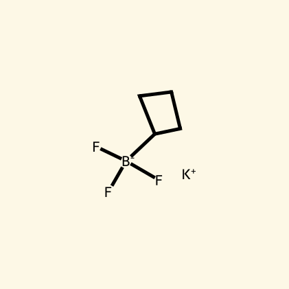 F[B-](F)(F)C1CCC1.[K+]